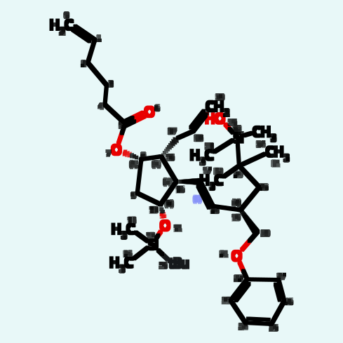 C=CCCCC(=O)O[C@H]1C[C@@H](O[Si](C)(C)C(C)(C)C)[C@H](/C=C/[C@H](COc2ccccc2)CC(C)(C)[Si](C)(C)O)[C@H]1CC=C